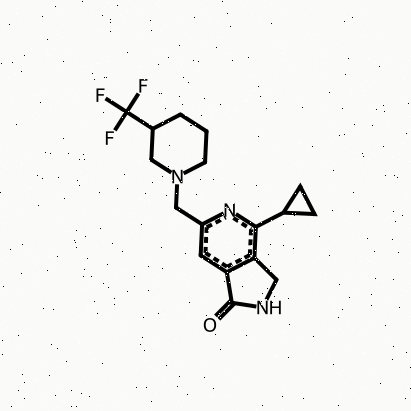 O=C1NCc2c1cc(CN1CCCC(C(F)(F)F)C1)nc2C1CC1